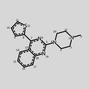 CN1CCN(c2nc(-c3cccs3)c3ccccc3n2)CC1